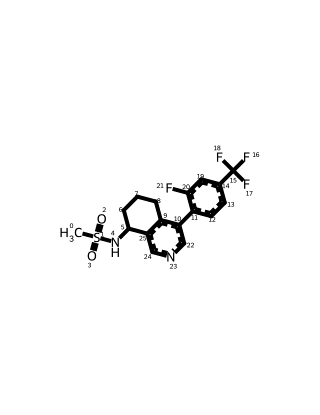 CS(=O)(=O)NC1CCCc2c(-c3ccc(C(F)(F)F)cc3F)cncc21